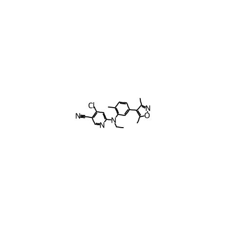 CCN(c1cc(Cl)c(C#N)cn1)c1cc(-c2c(C)noc2C)ccc1C